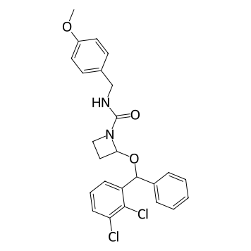 COc1ccc(CNC(=O)N2CCC2OC(c2ccccc2)c2cccc(Cl)c2Cl)cc1